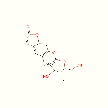 CCC1C(O)C=C(Oc2cc3oc(=O)ccc3cc2OC)OC1CO